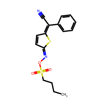 CCCCS(=O)(=O)O/N=C1C=C/C(=C(\C#N)c2ccccc2)S\1